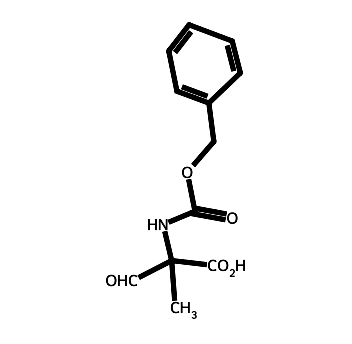 CC(C=O)(NC(=O)OCc1ccccc1)C(=O)O